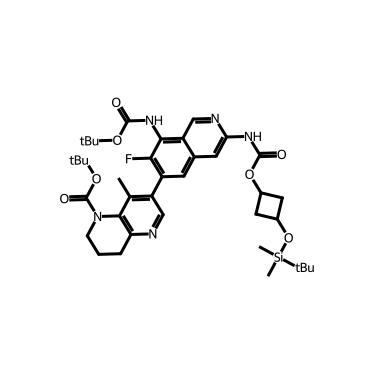 Cc1c(-c2cc3cc(NC(=O)OC4CC(O[Si](C)(C)C(C)(C)C)C4)ncc3c(NC(=O)OC(C)(C)C)c2F)cnc2c1N(C(=O)OC(C)(C)C)CCC2